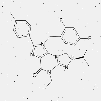 CCN1C(=O)c2nc(-c3ccc(C)cc3)n(Cc3ccc(F)cc3F)c2N2C[C@@H](C(C)C)N=C12